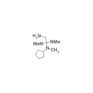 CNC(C[SiH3])(NC)N(C)C1CCCC1